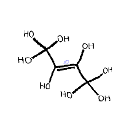 O/C(=C(/O)C(O)(O)O)C(O)(O)O